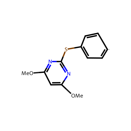 COc1cc(OC)nc(Sc2cc[c]cc2)n1